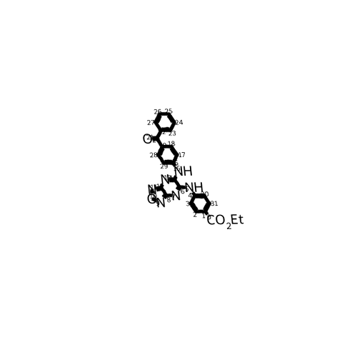 CCOC(=O)c1ccc(Nc2nc3nonc3nc2Nc2ccc(C(=O)c3ccccc3)cc2)cc1